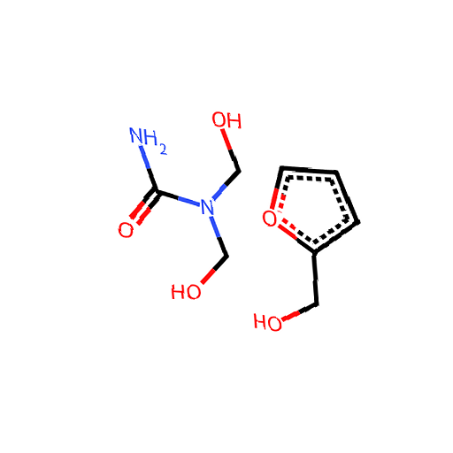 NC(=O)N(CO)CO.OCc1ccco1